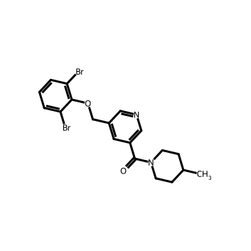 CC1CCN(C(=O)c2cncc(COc3c(Br)cccc3Br)c2)CC1